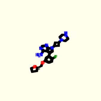 Nc1ncnc2c1c(-c1cc(OC[C@@H]3CCCO3)ccc1F)cn2C1CC(N2CCNCC2)C1